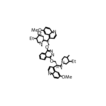 CCC1CN([C@@H](C)[C@H](COc2nnc(OC[C@H](c3ccnc4ccc(OC)cc34)[C@@H]3C[C@@H](CC)C(CC)CN3C)c3ccccc23)c2ccnc3ccc(OC)cc23)CCC1C